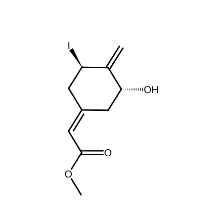 C=C1[C@H](O)C/C(=C\C(=O)OC)C[C@H]1I